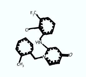 Cc1ccccc1Cn1ccc(=O)cc1Nc1cccc(C(F)(F)F)c1Cl